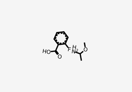 COC(C)N.O=C(O)c1ccccc1F